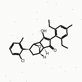 CCc1cc(C)cc(CC)c1C1=C(O)C2C3O[C@@H](C[C@H]3c3c(C)cccc3Cl)[C@@H]2C1=O